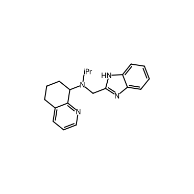 CC(C)N(Cc1nc2ccccc2[nH]1)C1CCCc2cccnc21